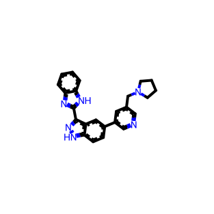 c1ccc2[nH]c(-c3n[nH]c4ccc(-c5cncc(CN6CCCC6)c5)cc34)nc2c1